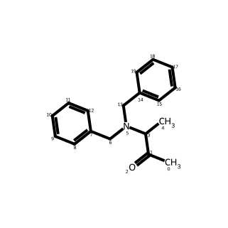 CC(=O)C(C)N(Cc1ccccc1)Cc1ccccc1